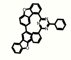 C1=CCC(c2nc(C3=CCCC=C3)nc(-c3cccc4oc5ccc(-c6ccc7oc8ccccc8c7c6)cc5c34)n2)C=C1